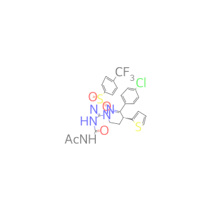 CC(=O)NC(=O)N/C(=N/S(=O)(=O)c1ccc(C(F)(F)F)cc1)N1CC[C@H](c2cccs2)C(c2ccc(Cl)cc2)=N1